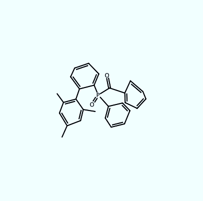 Cc1cc(C)c(-c2ccccc2P(=O)(C(=O)c2ccccc2)c2ccccc2)c(C)c1